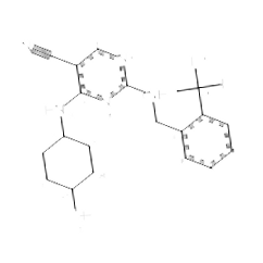 N#Cc1cnc(NCc2ccccc2C(F)(F)F)nc1NC1CCC(O)CC1